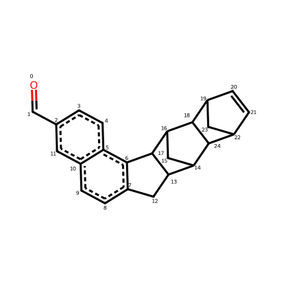 O=Cc1ccc2c3c(ccc2c1)CC1C2CC(C31)C1C3C=CC(C3)C21